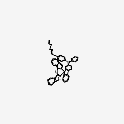 C=CCC/C=C/c1ccc(N(c2ccccc2)c2ccc3c(c2)C2(c4ccccc4-3)c3ccc4ccccc4c3Oc3c2ccc2ccccc32)cc1